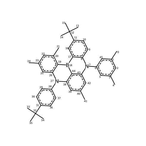 Cc1cc(C)cc(N2c3ccc(C(C)(C)C)cc3B3c4c(C)cc(C)cc4N(c4ccc(C(C)(C)C)cc4)c4cc(C)cc2c43)c1